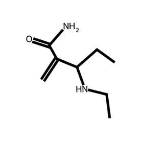 C=C(C(N)=O)C(CC)NCC